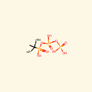 CCCCC(C)(CCC)P(=O)(O)OP(=O)(O)OP(=O)(O)O